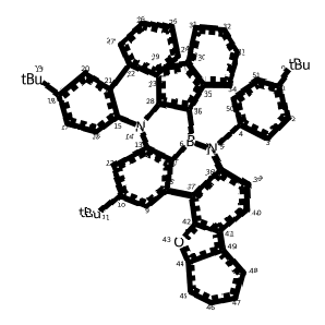 CC(C)(C)c1ccc(N2B3c4c(cc(C(C)(C)C)cc4N(c4ccc(C(C)(C)C)cc4-c4ccccc4)c4sc5ccccc5c43)-c3c2ccc2c3oc3ccccc32)cc1